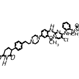 COc1cc(N2CCN(CCc3ccc(C4CCC(=O)NC4=O)cc3)CC2)ccc1Nc1ncc(Cl)c(Nc2ccccc2N(C)[SH]=O)n1